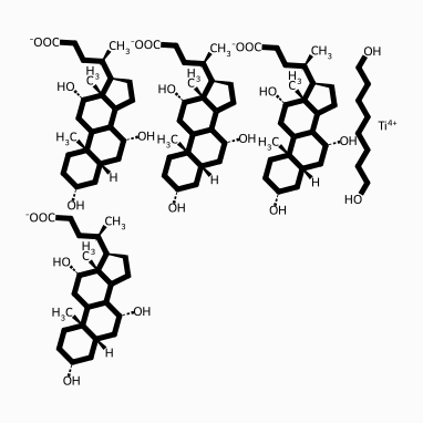 C[C@H](CCC(=O)[O-])[C@H]1CCC2C3C(C[C@H](O)[C@@]21C)[C@@]1(C)CC[C@@H](O)C[C@H]1C[C@H]3O.C[C@H](CCC(=O)[O-])[C@H]1CCC2C3C(C[C@H](O)[C@@]21C)[C@@]1(C)CC[C@@H](O)C[C@H]1C[C@H]3O.C[C@H](CCC(=O)[O-])[C@H]1CCC2C3C(C[C@H](O)[C@@]21C)[C@@]1(C)CC[C@@H](O)C[C@H]1C[C@H]3O.C[C@H](CCC(=O)[O-])[C@H]1CCC2C3C(C[C@H](O)[C@@]21C)[C@@]1(C)CC[C@@H](O)C[C@H]1C[C@H]3O.OCCCCCCCCO.[Ti+4]